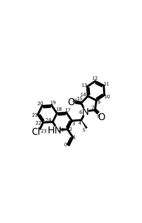 C=CC1=C([C@H](C)N2C(=O)c3ccccc3C2=O)C=C2C=CC=C(Cl)C2N1